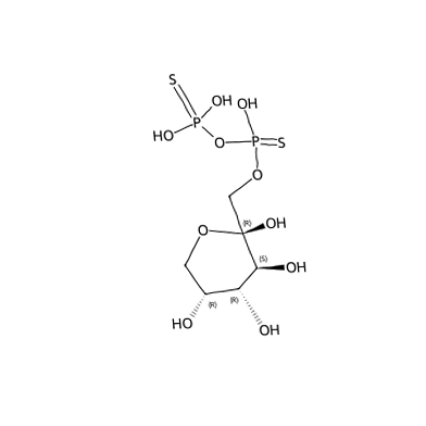 O[C@@H]1[C@H](O)CO[C@](O)(COP(O)(=S)OP(O)(O)=S)[C@H]1O